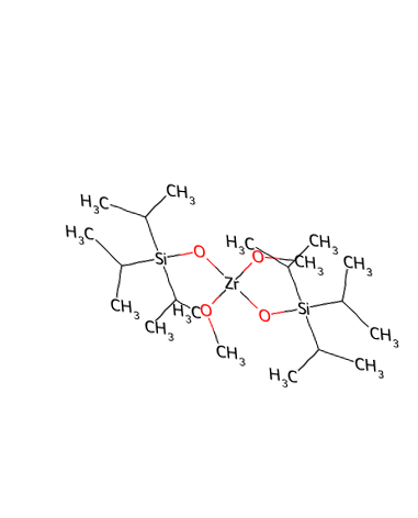 C[O][Zr]([O]C)([O][Si](C(C)C)(C(C)C)C(C)C)[O][Si](C(C)C)(C(C)C)C(C)C